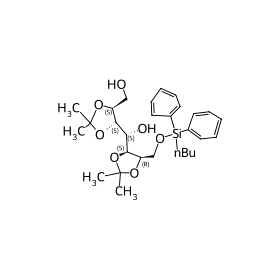 CCCC[Si](OC[C@H]1OC(C)(C)O[C@H]1[C@@H](O)[C@@H]1OC(C)(C)O[C@H]1CO)(c1ccccc1)c1ccccc1